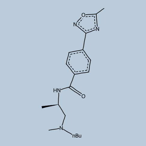 CCCCN(C)C[C@@H](C)NC(=O)c1ccc(-c2noc(C)n2)cc1